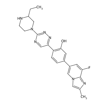 CCC1CN(c2ncc(-c3ccc(-c4cc(F)c5nc(C)cn5c4)cc3O)nn2)CCN1